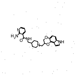 Nc1ncccc1C(=O)NCC1CCN(CC2COc3ccc4[nH]ccc4c3O2)CC1